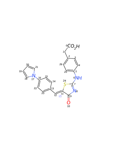 O=C(O)Cc1ccc(NC2=NC(=O)/C(=C/c3ccc(-n4cccc4)cc3)S2)cc1